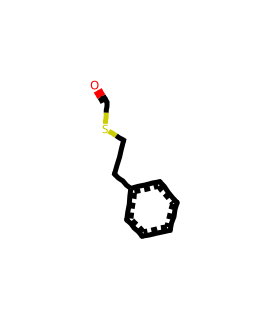 O=CSCCc1ccccc1